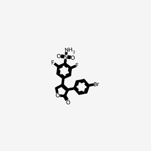 NS(=O)(=O)c1c(F)cc(C2=C(c3ccc(Br)cc3)C(=O)OC2)cc1F